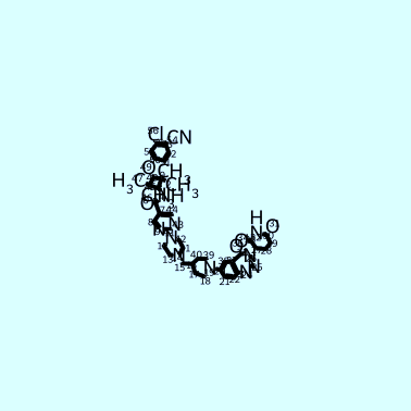 CC1(C)[C@H](NC(=O)c2cnc(N3CCN(CC4CCN(c5ccc6nnn(C7CCC(=O)NC7=O)c(=O)c6c5)CC4)CC3)nc2)C(C)(C)[C@H]1Oc1ccc(C#N)c(Cl)c1